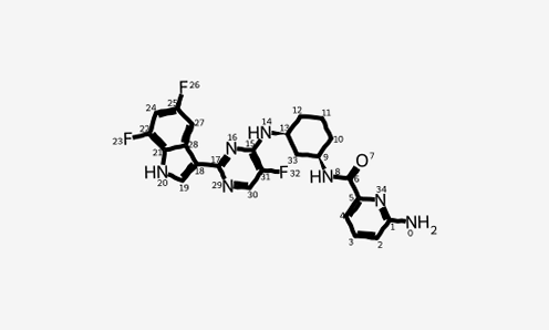 Nc1cccc(C(=O)N[C@@H]2CCC[C@H](Nc3nc(-c4c[nH]c5c(F)cc(F)cc45)ncc3F)C2)n1